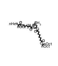 CCCCCCCCC(CCCCCCCC)OC(=O)CCCCCCC(=O)OC(COC(=O)CCCCCOC(=O)[C@@H](CCCCCC)CCCCCCCC)CN(C)C